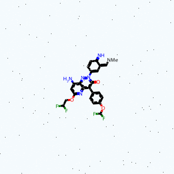 CN/C=C1/C=C(n2nc3c(N)cc(OCC(F)F)nc3c(-c3ccc(OC(F)F)cc3)c2=O)C=CC1=N